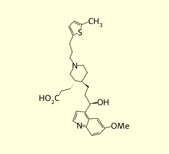 COc1ccc2nccc([C@H](O)CC[C@@H]3CCN(CCCc4ccc(C)s4)C[C@H]3CCC(=O)O)c2c1